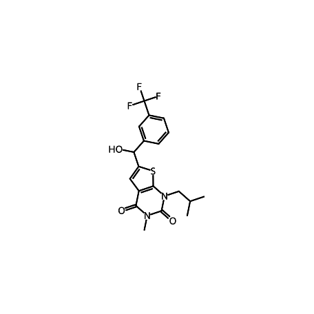 CC(C)Cn1c(=O)n(C)c(=O)c2cc(C(O)c3cccc(C(F)(F)F)c3)sc21